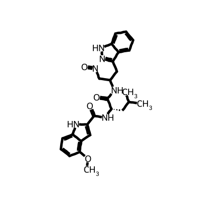 COc1cccc2[nH]c(C(=O)N[C@@H](CC(C)C)C(=O)NC(CN=O)Cc3n[nH]c4ccccc34)cc12